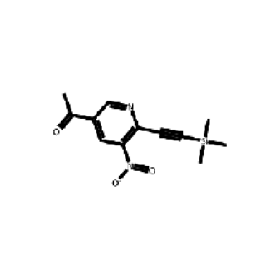 CC(=O)c1cnc(C#C[Si](C)(C)C)c([N+](=O)[O-])c1